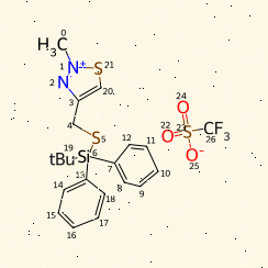 C[n+]1nc(CS[Si](c2ccccc2)(c2ccccc2)C(C)(C)C)cs1.O=S(=O)([O-])C(F)(F)F